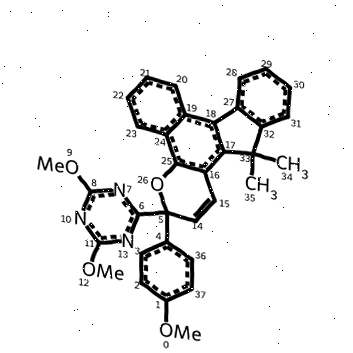 COc1ccc(C2(c3nc(OC)nc(OC)n3)C=Cc3c4c(c5ccccc5c3O2)-c2ccccc2C4(C)C)cc1